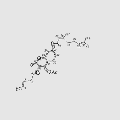 CCC=CCCOc1c(OC(C)=O)c2ccc(OCC=C(C)CCC=C(C)C)cc2oc1=O